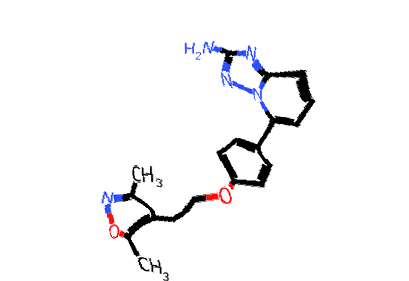 Cc1noc(C)c1CCOc1ccc(-c2cccc3nc(N)nn23)cc1